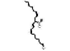 CCCCC/C=C\CC(/C=C/C=C\CCCC[C]=O)[N+](=O)[O-]